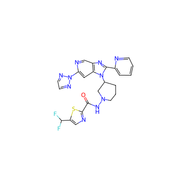 O=C(NN1CCCC(n2c(-c3ccccn3)nc3cnc(-n4nccn4)cc32)C1)c1ncc(C(F)F)s1